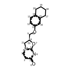 O=c1ccn2c(n1)O[C@H](COc1ccc3c(c1)CCCC3)C2